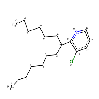 CCCCCCCC(CCCCCC)c1ncccc1Cl